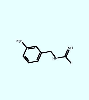 CC(=N)NCc1cccc([76Br])c1